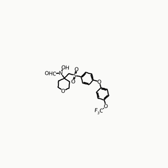 O=CN(O)C1(CS(=O)(=O)c2ccc(Oc3ccc(OC(F)(F)F)cc3)cc2)CCOCC1